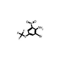 Nc1c(Br)cc(SC(F)(F)F)cc1[N+](=O)[O-]